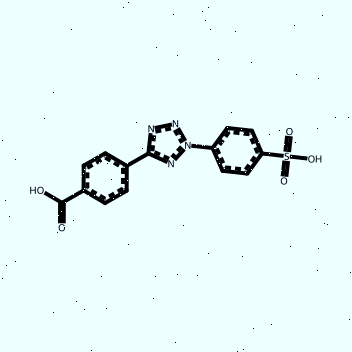 O=C(O)c1ccc(-c2nnn(-c3ccc(S(=O)(=O)O)cc3)n2)cc1